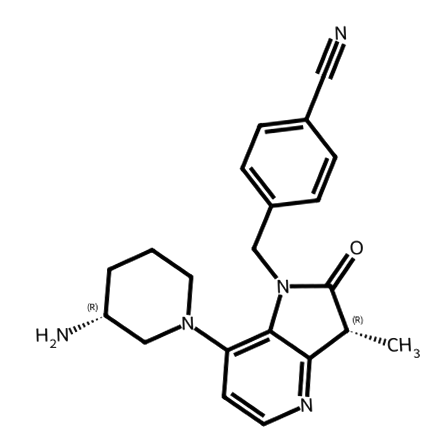 C[C@H]1C(=O)N(Cc2ccc(C#N)cc2)c2c(N3CCC[C@@H](N)C3)ccnc21